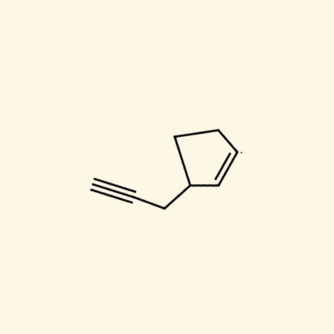 C#CCC1C=[C]CC1